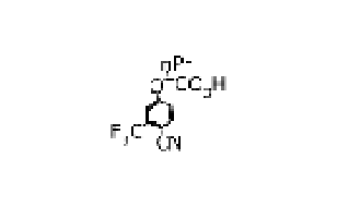 CCC[C@H](Oc1ccc(C#N)c(C(F)(F)F)c1)C(=O)O